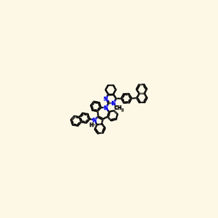 CN1C(N2C3=C(C=CCC3)C3=C(c4ccccc42)N(c2ccc4ccccc4c2)[C@@H]2C=CC=CC32)=NC2=C(CCCC2)C1c1ccc(C2=CC=CC3C=CC=CC23)cc1